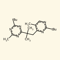 Cc1nc(C(C)(C)C)nc(C(C)(C)Cc2nc(C(C)(C)C)ncc2C)n1